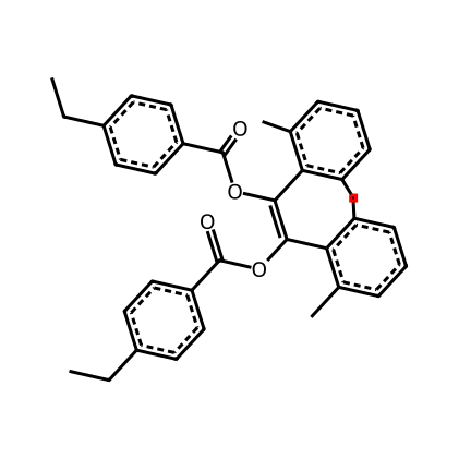 CCc1ccc(C(=O)OC(=C(OC(=O)c2ccc(CC)cc2)c2c(C)cccc2C)c2c(C)cccc2C)cc1